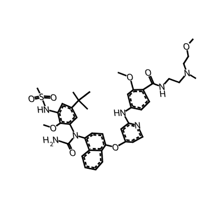 COCCN(C)CCNC(=O)c1ccc(Nc2cc(Oc3ccc(N(C(N)=O)c4cc(C(C)(C)C)cc(NS(C)(=O)=O)c4OC)c4ccccc34)ccn2)cc1OC